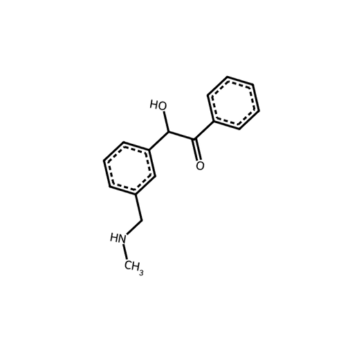 CNCc1cccc(C(O)C(=O)c2ccccc2)c1